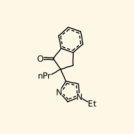 CCCC1(c2cn(CC)cn2)Cc2ccccc2C1=O